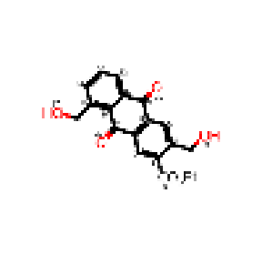 CCOC(=O)c1cc2c(cc1CO)C(=O)c1cccc(CO)c1C2=O